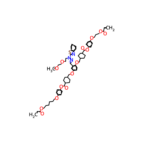 C=CC(=O)OCCCCCCOc1ccc(OC(=O)C2CCC(COc3ccc(OCC4CCC(C(=O)Oc5ccc(OCCCOC(=O)C=C)cc5)CC4)c(/C=N/N(CCOCCOC)c4nc5ccccc5s4)c3)CC2)cc1